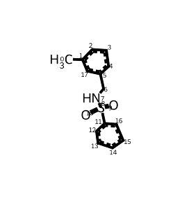 Cc1cccc(CNS(=O)(=O)c2ccccc2)c1